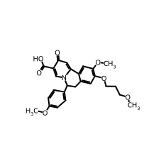 COCCCOc1cc2c(cc1OC)-c1cc(=O)c(C(=O)O)cn1C(c1ccc(OC)cc1)C2